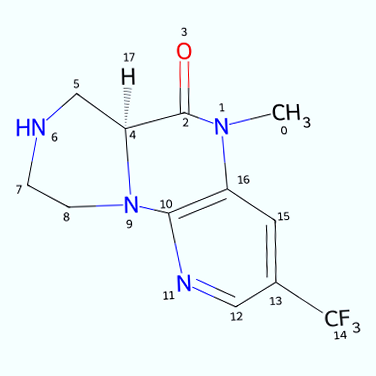 CN1C(=O)[C@@H]2CNCCN2c2ncc(C(F)(F)F)cc21